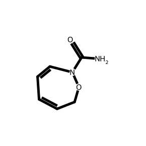 NC(=O)N1C=CC=CCO1